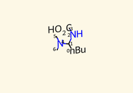 CCCCC(NC(=O)O)N(C)C